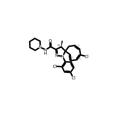 C[C@@H]1C(C(=O)NN2CCCCC2)=NN(c2ccc(Cl)cc2Cl)C12/C=C/C=C(Cl)\C=C/C2